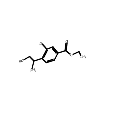 CCOC(=O)c1ccc(C(N)CO)c(Cl)c1